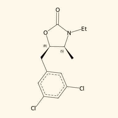 CCN1C(=O)O[C@H](Cc2cc(Cl)cc(Cl)c2)[C@@H]1C